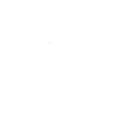 Nc1sc2ccccc2c1-c1ccccc1